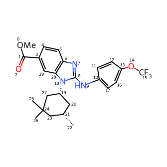 COC(=O)c1ccc2nc(Nc3ccc(OC(F)(F)F)cc3)n([C@@H]3C[C@H](C)CC(C)(C)C3)c2c1